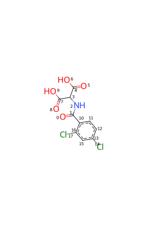 O=C(NC(C(=O)O)C(=O)O)c1ccc(Cl)cc1Cl